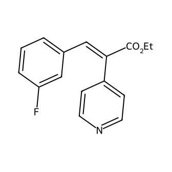 CCOC(=O)C(=Cc1cccc(F)c1)c1ccncc1